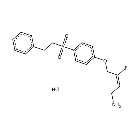 Cl.NC/C=C(/F)COc1ccc(S(=O)(=O)CCc2ccccc2)cc1